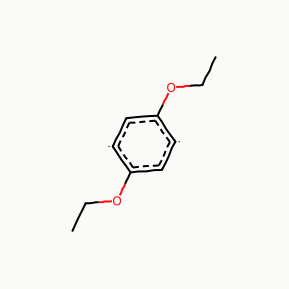 CCOc1[c]cc(OCC)[c]c1